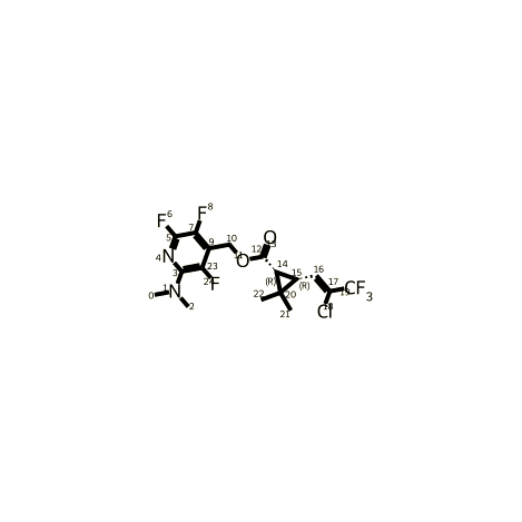 CN(C)c1nc(F)c(F)c(COC(=O)[C@@H]2[C@H](C=C(Cl)C(F)(F)F)C2(C)C)c1F